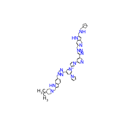 CC1(C)CCN(Cc2cc3ccc(Cn4cnc(-c5cc(-n6cccc6)c[n+](-c6ccn(-c7cncc(-c8cn(Cc9cc%10[nH]c(CNCC%11%12CCC(C%11)C%12)cc%10cn9)nn8)c7)c6)c5)n4)cc3[nH]2)CC1